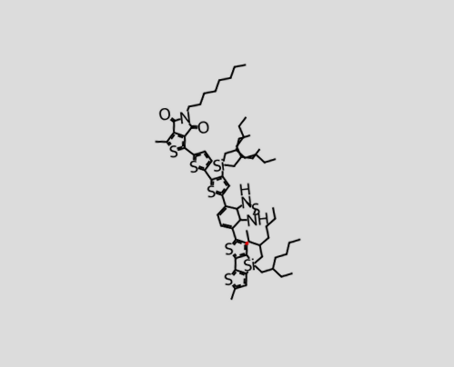 CCCCCCCCN1C(=O)c2c(C)sc(-c3cc4c(s3)-c3sc(C5=CC=C(c6cc7c(s6)-c6sc(C)cc6[Si]7(CC(CC)CCCC)CC(CC)CCCC)C6NSNC56)cc3[Si]4(CC(CC)CCCC)CC(CC)CCCC)c2C1=O